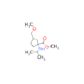 COCC1CCC(NC(C)C)(C(=O)OC)C1